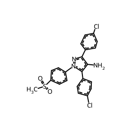 CS(=O)(=O)c1ccc(-n2nc(-c3ccc(Cl)cc3)c(N)c2-c2ccc(Cl)cc2)cc1